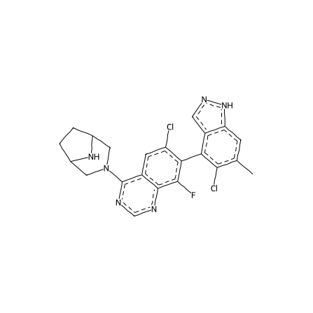 Cc1cc2[nH]ncc2c(-c2c(Cl)cc3c(N4CC5CCC(C4)N5)ncnc3c2F)c1Cl